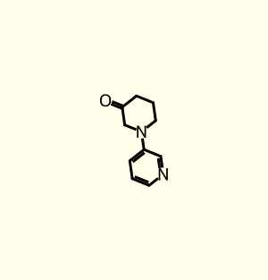 O=C1CCCN(c2cccnc2)C1